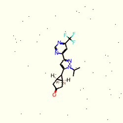 CC(C)n1nc(-c2cc(C(F)(F)F)ncn2)cc1C1[C@H]2CC(=O)C[C@@H]12